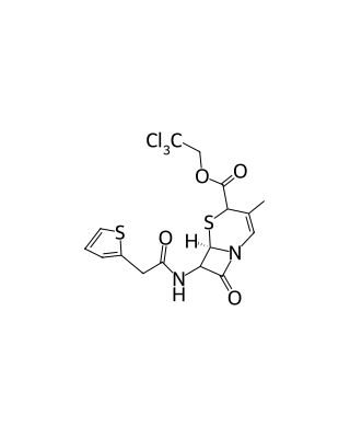 CC1=CN2C(=O)C(NC(=O)Cc3cccs3)[C@H]2SC1C(=O)OCC(Cl)(Cl)Cl